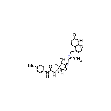 C=C1/C(=C\C=C(/C)Oc2ccnc3c2CCC(=O)N3)O[C@@H]2[C@@H](NC(=O)Nc3ccc(C(C)(C)C)cc3)[C@H]12